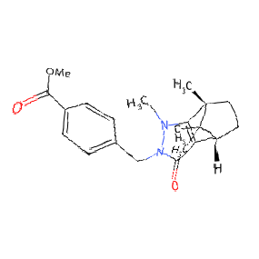 COC(=O)c1ccc(Cn2c(=O)c3c(n2C)[C@]2(C)CC[C@H]3C2(C)C)cc1